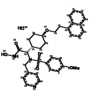 COc1ccc(S(=O)(=O)N(Cc2ccncc2)C(C(=O)NO)[C@H]2CC[C@H](OCCc3cccc4ccccc34)CC2)cc1.Cl